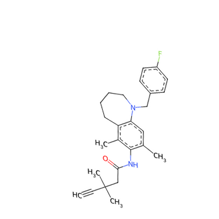 C#CC(C)(C)CC(=O)Nc1c(C)cc2c(c1C)CCCCN2Cc1ccc(F)cc1